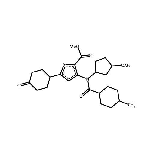 COC(=O)c1sc(C2CCC(=O)CC2)cc1N(C(=O)C1CCC(C)CC1)C1CCC(OC)C1